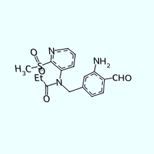 CCC(=O)N(Cc1ccc(C=O)c(N)c1)c1cccnc1S(C)(=O)=O